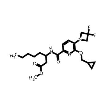 CCCCCC(CC(=O)OC)NC(=O)c1ccc(N2CC(F)(F)C2)c(OCC2CC2)n1